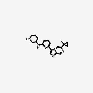 CC1(c2cn3c(-c4cccc(NC5CCCNC5)n4)cnc3cn2)CC1